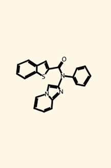 O=C(c1cc2ccccc2s1)N(c1ccccc1)c1cn2ccccc2n1